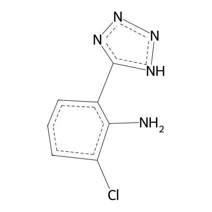 Nc1c(Cl)cccc1-c1nnn[nH]1